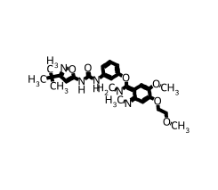 C=N/C(Oc1cccc(NC(=O)Nc2cc(C(C)(C)C)no2)c1)=C1/C=C(OC)C(OCCOC)=C/C1=N/C